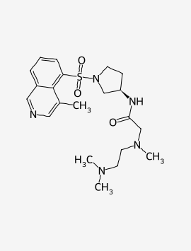 Cc1cncc2cccc(S(=O)(=O)N3CC[C@@H](NC(=O)CN(C)CCN(C)C)C3)c12